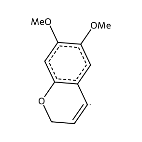 COc1cc2c(cc1OC)OCC=[C]2